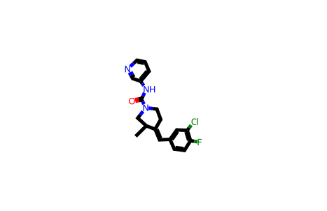 CC1CN(C(=O)Nc2cccnc2)CCC1=Cc1ccc(F)c(Cl)c1